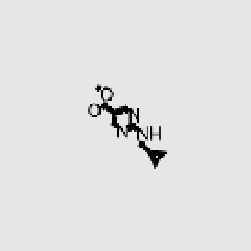 COC(=O)c1cnc(NCC2CC2)nc1